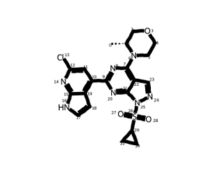 C[C@@H]1COCCN1c1nc(-c2cc(Cl)nc3[nH]ccc23)nc2c1cnn2S(=O)(=O)C1CC1